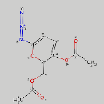 CC(=O)OCC1OC(N=[N+]=[N-])=CC=C1OC(C)=O